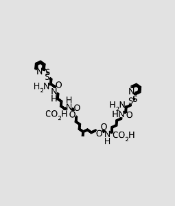 CC(CCCCOC(=O)NC(CCCCNC(=O)C(N)CSSc1ccccn1)C(=O)O)CCCOC(=O)NC(CCCCNC(=O)C(N)CSSc1ccccn1)C(=O)O